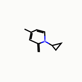 C=C1C=C(C)C=CN1C1CC1